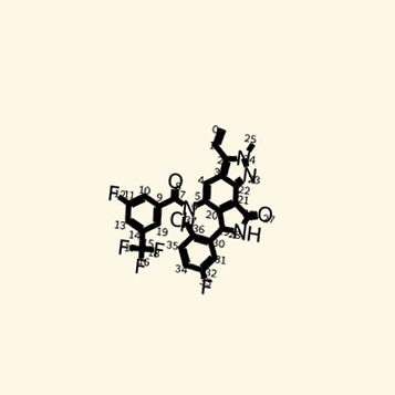 C=Cc1c2cc(NC(=O)c3cc(F)cc(C(F)(F)F)c3)c3c(c2nn1C)C(=O)NC3c1cc(F)ccc1Cl